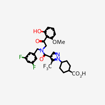 COc1cccc(O)c1C(=O)CN(Cc1cc(F)cc(F)c1)C(=O)c1cnn(C2CCC(C(=O)O)CC2)c1C(F)(F)F